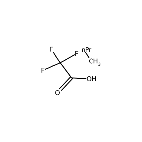 CCCC.O=C(O)C(F)(F)F